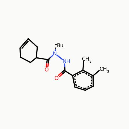 Cc1cccc(C(=O)NN(C(=O)C2CC=CCC2)C(C)(C)C)c1C